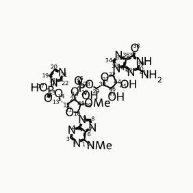 CNc1ncnc2c1ncn2[C@@H]1O[C@H](COP(=O)(O)n2ccnc2)[C@@H](OP(=O)(O)OC[C@H]2O[C@@H](n3cnc4c(=O)[nH]c(N)nc43)[C@H](O)[C@@H]2O)[C@H]1OC